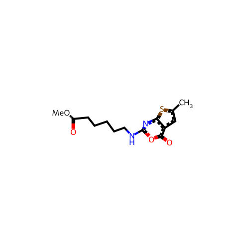 COC(=O)CCCCCNc1nc2sc(C)cc2c(=O)o1